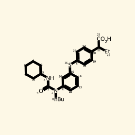 CCCCN(C(=O)NC1CCCCC1)c1cccc(Sc2ccc(C(CC)C(=O)O)cc2)c1